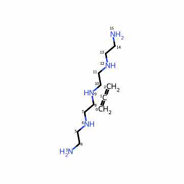 C=C=C.NCCNCCNCCNCCN